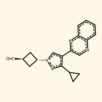 O=C[C@H]1C[C@H](n2cc(-c3cnc4ccccc4n3)c(C3CC3)n2)C1